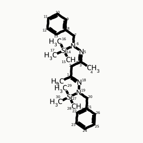 CC(CC(C)=NN(Cc1ccccc1)[Si](C)(C)C)=NN(Cc1ccccc1)[Si](C)(C)C